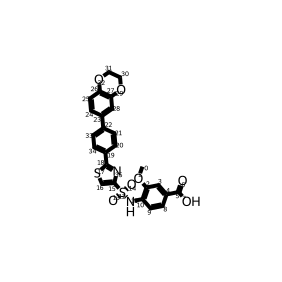 COc1cc(C(=O)O)ccc1NS(=O)(=O)c1csc(-c2ccc(-c3ccc4c(c3)OCCO4)cc2)n1